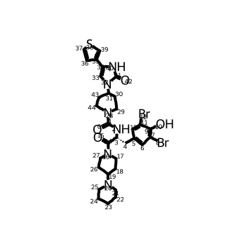 O=C(N[C@H](Cc1cc(Br)c(O)c(Br)c1)C(=O)N1CCC(N2CCCCC2)CC1)N1CCC(n2cc(-c3ccsc3)[nH]c2=O)CC1